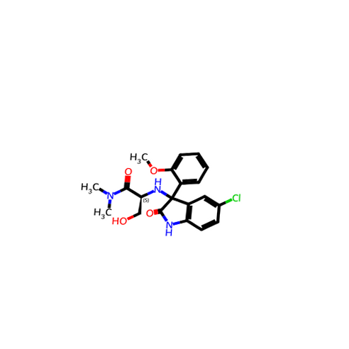 COc1ccccc1C1(N[C@@H](CO)C(=O)N(C)C)C(=O)Nc2ccc(Cl)cc21